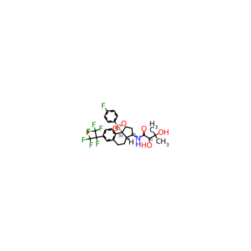 CC(C)(O)[C@@H](O)C(=O)N[C@@H]1CC[C@@]2(S(=O)(=O)c3ccc(F)cc3)c3ccc(C(F)(C(F)(F)F)C(F)(F)F)cc3CC[C@@H]12